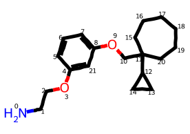 NCCOc1cccc(OCC2(C3CC3)CCCCCC2)c1